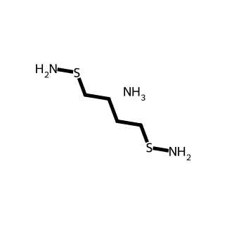 N.NSCCCCSN